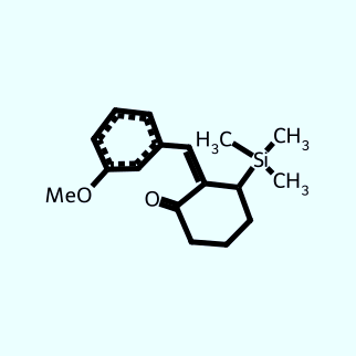 COc1cccc(C=C2C(=O)CCCC2[Si](C)(C)C)c1